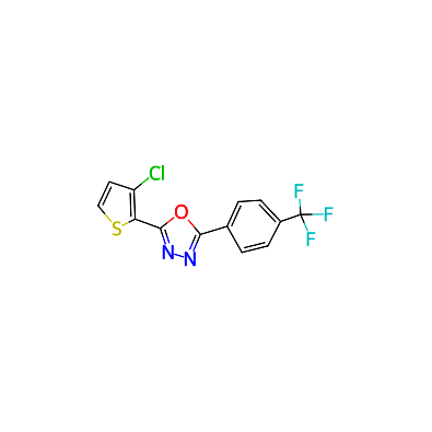 FC(F)(F)c1ccc(-c2nnc(-c3sccc3Cl)o2)cc1